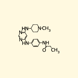 CCC(=O)Nc1ccc(Nc2cc(NC3CCN(C)CC3)ncn2)cc1